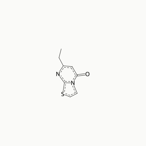 CCc1cc(=O)n2ccsc2n1